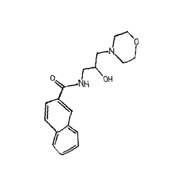 O=C(NCC(O)CN1CCOCC1)c1ccc2ccccc2c1